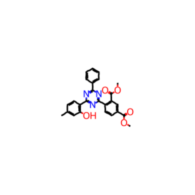 COC(=O)c1ccc(-c2nc(-c3ccccc3)nc(-c3ccc(C)cc3O)n2)c(C(=O)OC)c1